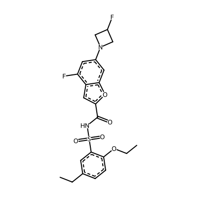 CCOc1ccc(CC)cc1S(=O)(=O)NC(=O)c1cc2c(F)cc(N3CC(F)C3)cc2o1